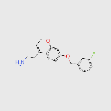 NCCC1=CCOc2cc(OCc3cccc(F)c3)ccc21